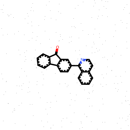 O=C1c2ccccc2-c2ccc(-c3nccc4ccccc34)cc21